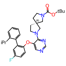 CC(C)c1ccccc1-c1cc(F)ccc1Oc1cncnc1N1CC[C@@]2(CCN(C(=O)OC(C)(C)C)C2)C1